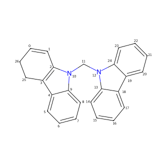 C1=Cc2c(c3ccccc3n2Cn2c3ccccc3c3ccccc32)CC1